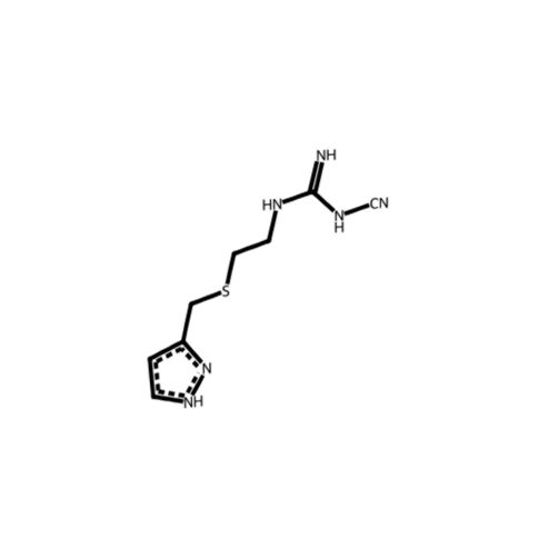 N#CNC(=N)NCCSCc1cc[nH]n1